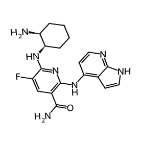 NC(=O)c1cc(F)c(N[C@@H]2CCCC[C@@H]2N)nc1Nc1ccnc2[nH]ccc12